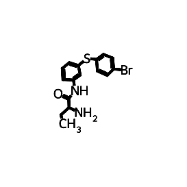 CCC(N)C(=O)Nc1cccc(Sc2ccc(Br)cc2)c1